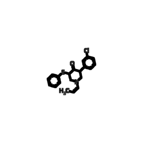 C/C=C\N1CC(Sc2ccccc2)C(=O)C(c2cccc(Cl)c2)C1